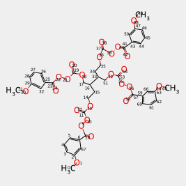 COc1cccc(C(=O)OOC(=O)OCCC(COC(=O)OOC(=O)c2cccc(OC)c2)C(CCOC(=O)OOC(=O)c2cccc(OC)c2)COC(=O)OOC(=O)c2cccc(OC)c2)c1